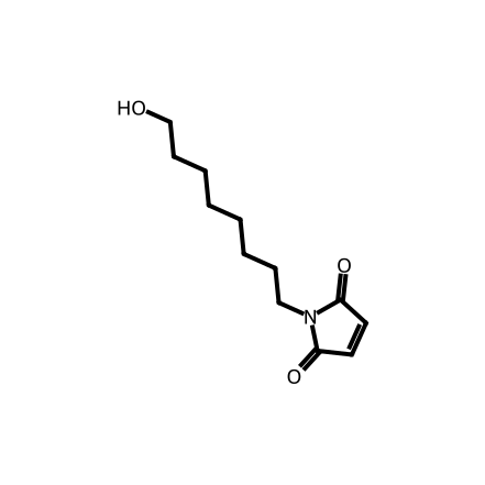 O=C1C=CC(=O)N1CCCCCCCCO